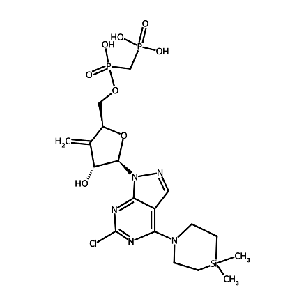 C=C1[C@@H](O)[C@H](n2ncc3c(N4CC[Si](C)(C)CC4)nc(Cl)nc32)O[C@@H]1COP(=O)(O)CP(=O)(O)O